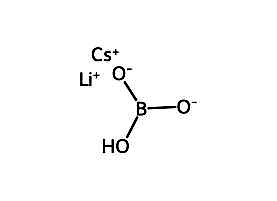 [Cs+].[Li+].[O-]B([O-])O